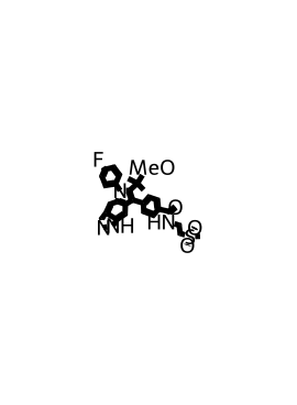 COCC(C)(C)c1c(-c2ccc(C(=O)NCCS(C)(=O)=O)cc2)c2cc3[nH]ncc3cc2n1-c1ccc(F)cc1